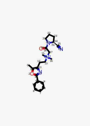 Cc1oc(-c2ccccc2)nc1CC[N+](C)(C)CC(=O)N1CCC[C@H]1C#N